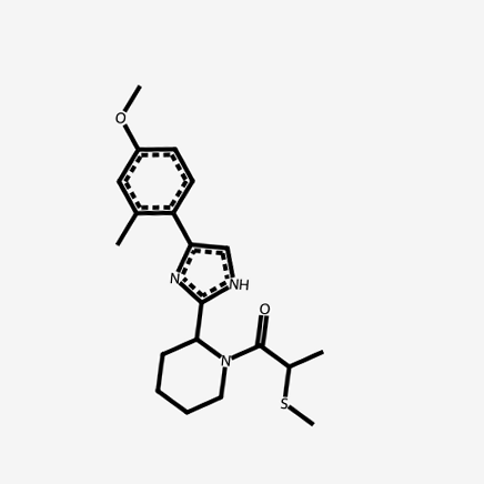 COc1ccc(-c2c[nH]c(C3CCCCN3C(=O)C(C)SC)n2)c(C)c1